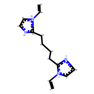 C=Cn1ccnc1CCCCc1nccn1C=C